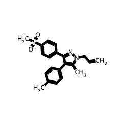 C=CCn1nc(-c2ccc(S(C)(=O)=O)cc2)c(-c2ccc(C)cc2)c1C